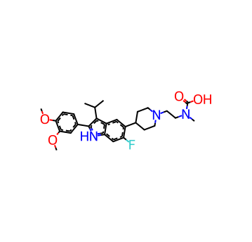 COc1ccc(-c2[nH]c3cc(F)c(C4CCN(CCN(C)C(=O)O)CC4)cc3c2C(C)C)cc1OC